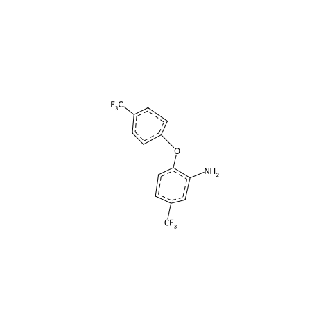 Nc1cc(C(F)(F)F)ccc1Oc1ccc(C(F)(F)F)cc1